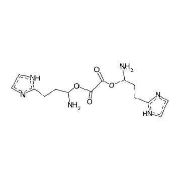 NC(CCc1ncc[nH]1)OC(=O)C(=O)OC(N)CCc1ncc[nH]1